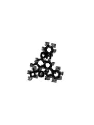 CC1CC(O)=c2ccc3c(c2C1C(=O)C1(C)CCC1)CC=c1ccccc1=3.c1ccccc1